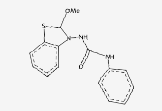 COC1Sc2ccccc2N1NC(=O)Nc1ccccc1